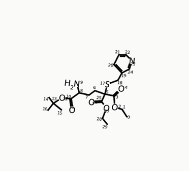 CCOC(=O)C(CCC(N)C(=O)OC(C)(C)C)(SCc1cccnc1)C(=O)OCC